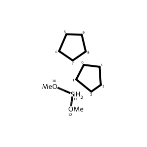 C1CCCC1.C1CCCC1.CO[SiH2]OC